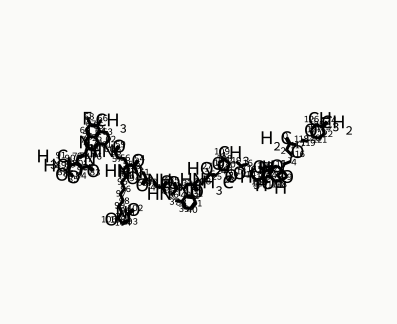 C=C1C[C@H](CC[C@]23C[C@H](O2)C2O[C@H]4CC[C@H](CC(=O)C[C@@H]5[C@@H](OC)[C@@H](C[C@H](O)CNC(=O)CNC(=O)[C@H](Cc6ccccc6)NC(=O)CNC(=O)CNC(=O)C(CCC(=O)N[C@H]6CCc7c(C)c(F)cc8nc9c(c6c78)Cn6c-9cc7c(c6=O)COC(=O)[C@]7(O)CC)NC(=O)CCCCCN6C(=O)C=CC6=O)O[C@H]5C)O[C@@H]4[C@H](O3)C2C)O[C@H]1CC[C@H]1CCC(=C)[C@@H](C)O1